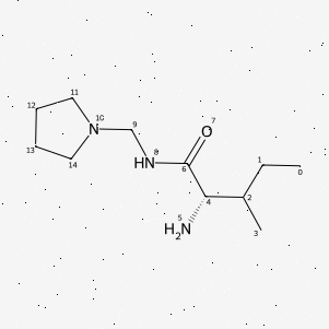 CCC(C)[C@H](N)C(=O)NCN1CCCC1